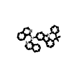 CC1(C)c2ccccc2-n2c3ccc(N(c4nccc5ccccc45)c4nccc5ccccc45)cc3c3cccc1c32